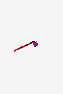 C=CCCCCCCCCCCCCCCCCCCCCCCCCCCNC(=C)CCCCCNC(=C)/C=C\C(=C)CC